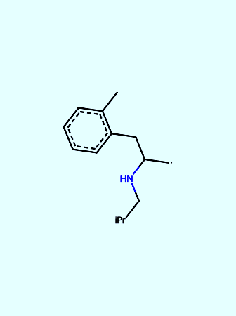 [CH2]C(Cc1ccccc1C)NCC(C)C